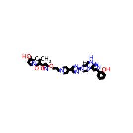 CC(C)C(C(=O)N1CC[C@@H](O)C1)c1cc(OCCCN2CCC(c3cnc(N4CCN5c6cc(-c7ccccc7O)nnc6NC[C@H]5C4)nc3)CC2)no1